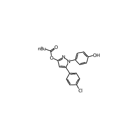 CCCCC(=O)Oc1cc(-c2ccc(Cl)cc2)n(-c2ccc(O)cc2)n1